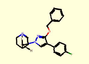 Fc1ccc(-c2cn([C@H]3CN4CCC3CC4)nc2OCc2ccccc2)cc1